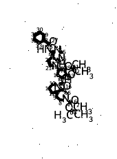 CC(C)(C)OC(=O)N1CCC2(CCCN2C(=O)[C@H]2C[C@@H](n3ccc4c(NC(=O)c5ccccc5)ncnc43)[C@@H]3OC(C)(C)O[C@@H]32)CC1